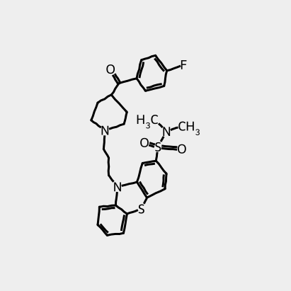 CN(C)S(=O)(=O)c1ccc2c(c1)N(CCCN1CCC(C(=O)c3ccc(F)cc3)CC1)c1ccccc1S2